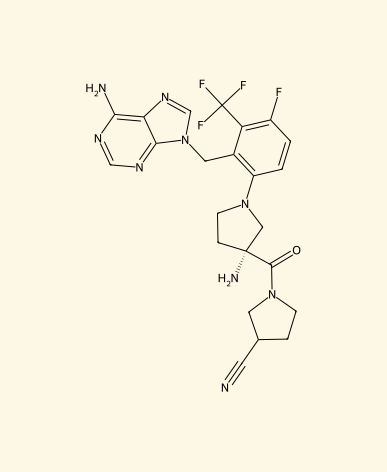 N#CC1CCN(C(=O)[C@@]2(N)CCN(c3ccc(F)c(C(F)(F)F)c3Cn3cnc4c(N)ncnc43)C2)C1